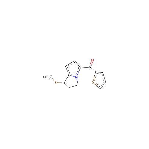 O=C(O)SC1CCn2c(C(=O)c3cccs3)ccc21